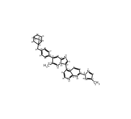 Cc1cnn(-c2ccc3c(-c4cnc5cc(-c6ccc(CN7CC8CCC7CC8)cc6)c(C)nn45)ccnc3n2)n1